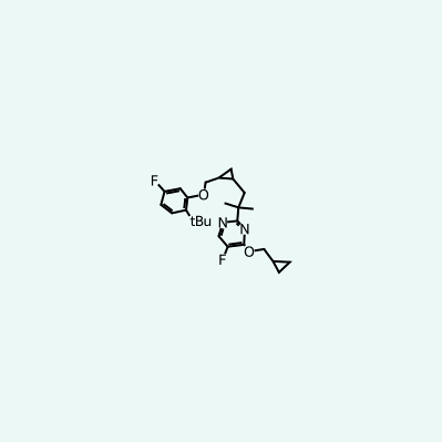 CC(C)(C)c1ccc(F)cc1OCC1CC1CC(C)(C)c1ncc(F)c(OCC2CC2)n1